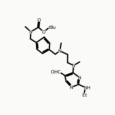 CCNc1ncc(C=O)c(N(C)CCN(C)Cc2ccc(CN(C)C(=O)OC(C)(C)C)cc2)n1